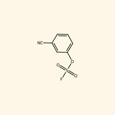 N#Cc1cccc(OS(=O)(=O)F)c1